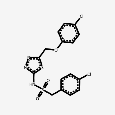 O=S(=O)(Cc1ccc(Cl)cc1)Nc1nnc(COc2ccc(Cl)cc2)s1